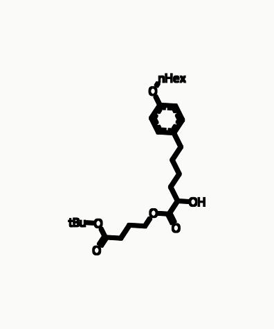 CCCCCCOc1ccc(CCCCC(O)C(=O)OCCCC(=O)OC(C)(C)C)cc1